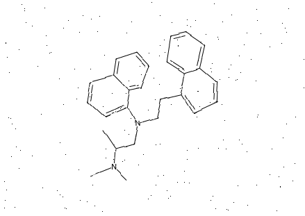 CC(CN(CCc1cccc2ccccc12)c1cccc2ccccc12)N(C)C